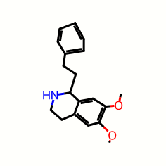 COc1cc2c(cc1OC)C(CCc1ccccc1)NCC2